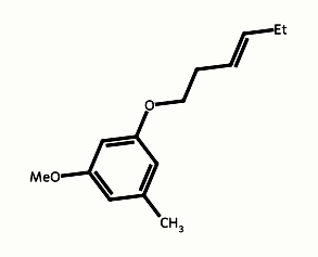 CCC=CCCOc1cc(C)cc(OC)c1